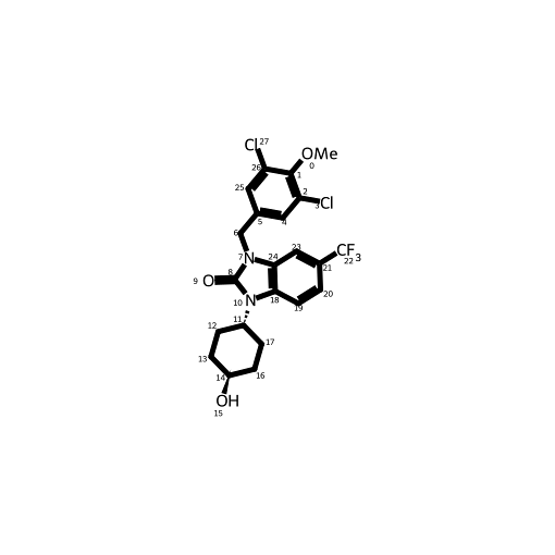 COc1c(Cl)cc(Cn2c(=O)n([C@H]3CC[C@H](O)CC3)c3ccc(C(F)(F)F)cc32)cc1Cl